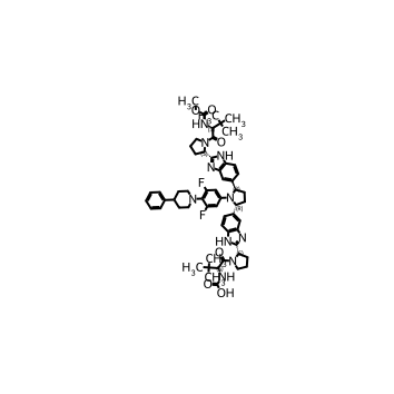 COC(=O)N[C@H](C(=O)N1CCC[C@H]1c1nc2cc([C@H]3CC[C@H](c4ccc5[nH]c([C@@H]6CCCN6C(=O)[C@@H](NC(=O)O)C(C)(C)C)nc5c4)N3c3cc(F)c(N4CCC(c5ccccc5)CC4)c(F)c3)ccc2[nH]1)C(C)(C)C